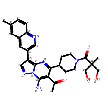 CC(=O)c1c(C2CCN(C(=O)C(C)(CO)CO)CC2)nc2c(-c3cnc4ccc(C)cc4c3)cnn2c1N